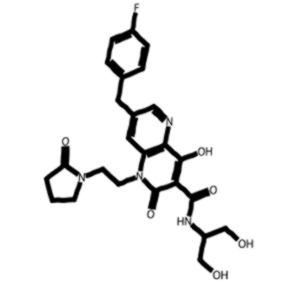 O=C(NC(CO)CO)c1c(O)c2ncc(Cc3ccc(F)cc3)cc2n(CCN2CCCC2=O)c1=O